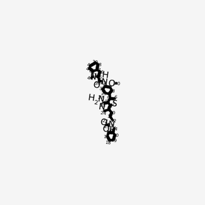 COc1cc(-c2csc3c(C=CCN(Cc4ccccc4)C(=O)O)cnc(N)c23)ccc1NC(=O)c1cc2ccccc2n1C